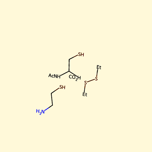 CC(=O)NC(CS)C(=O)O.CCSSCC.NCCS